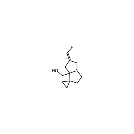 OCC12C/C(=C/F)CN1CCC21CC1